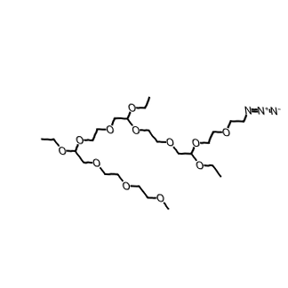 CCOC(COCCOCCOC)OCCOCC(OCC)OCCOCC(OCC)OCCOCCN=[N+]=[N-]